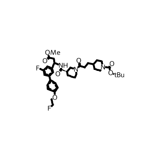 COC(=O)CC(NC(=O)[C@@H]1CCCN(C(=O)CCC2CCN(C(=O)OC(C)(C)C)CC2)C1)c1cc(F)cc(-c2ccc(OCCF)cc2)c1